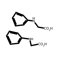 O=C(O)CNc1ccccc1.O=C(O)CNc1ccccc1